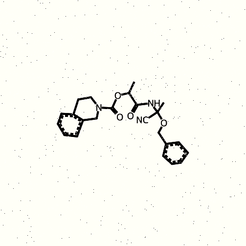 CC(OC(=O)N1CCc2ccccc2C1)C(=O)NC(C)(C#N)OCc1ccccc1